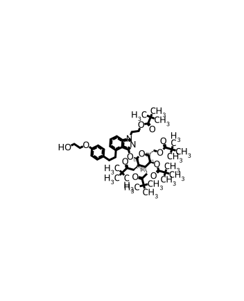 CC(C)(C)C(=O)C[C@@H]1[C@@H](CC(=O)C(C)(C)C)[C@H](Oc2nn(CCOC(=O)C(C)(C)C)c3cccc(CCc4ccc(OCCO)cc4)c23)O[C@H](COC(=O)C(C)(C)C)[C@H]1OC(=O)C(C)(C)C